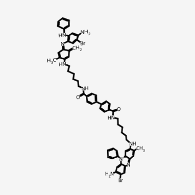 C=C1C=C(NCCCCCCNC(=O)c2ccc(-c3ccc(C(=O)NCCCCCCNc4cc5c(cc4C)nc4cc(Br)c(N)cc4[n+]5-c4ccccc4)cc3)cc2)C(C)=C/C1=N/c1cc(Br)c(N)cc1Nc1ccccc1